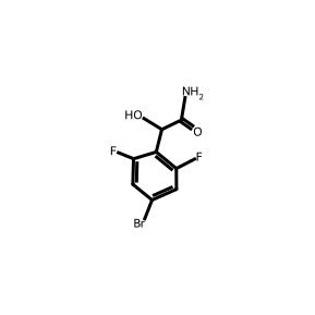 NC(=O)C(O)c1c(F)cc(Br)cc1F